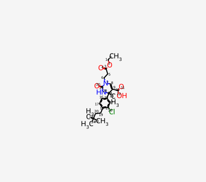 CCOC(=O)CCN1C=C(C(=O)O)[C@](C)(c2ccc(CCC(C)(C)C)c(Cl)c2)NC1=O